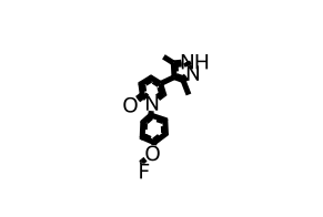 Cc1n[nH]c(C)c1-c1ccc(=O)n(-c2ccc(OCF)cc2)c1